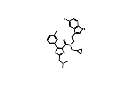 Cc1cccc(-c2sc(CN(C)C)nc2C(=O)N(CCc2c[nH]c3ccc(F)cc23)CC2CC2)c1